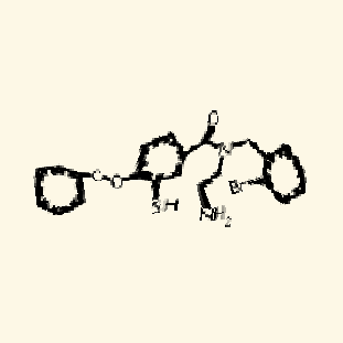 NCCN(Cc1ccccc1Br)C(=O)c1ccc(OCc2ccccc2)c(S)c1